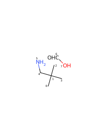 CC(C)(C)CN.O=CO